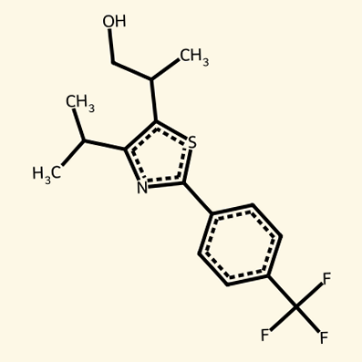 CC(C)c1nc(-c2ccc(C(F)(F)F)cc2)sc1C(C)CO